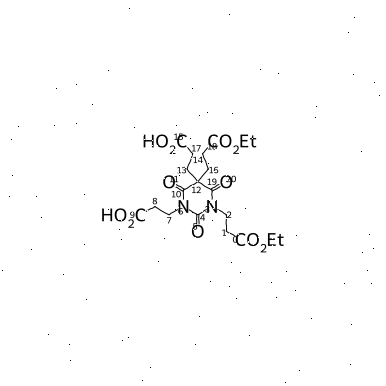 CCOC(=O)CCN1C(=O)N(CCC(=O)O)C(=O)C(CCC(=O)O)(CCC(=O)OCC)C1=O